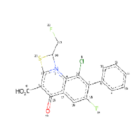 O=C(O)c1c2n(c3c(Cl)c(-c4ccccc4)c(F)cc3c1=O)C(CF)S2